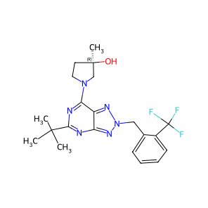 CC(C)(C)c1nc(N2CC[C@@](C)(O)C2)c2nn(Cc3ccccc3C(F)(F)F)nc2n1